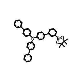 CC1(C)OB(c2cccc(-c3ccc(N(c4ccc(-c5ccccc5)cc4)c4ccc(-c5ccccc5)cc4)cc3)c2)OC1(C)C